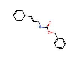 O=C(NC/C=C/C1CC=CCC1)OCc1ccccc1